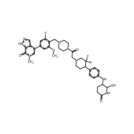 COc1cc(-c2cn(C)c(=O)c3[nH]ncc23)cc(F)c1CN1CCN(C(=O)CN2CCC(c3ccc(NC4CCC(=O)NC4O)cc3)C(F)(F)C2)CC1